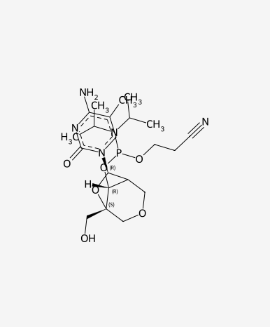 Cc1cn([C@@H]2O[C@@]3(CO)COCC2[C@H]3OP(OCCC#N)N(C(C)C)C(C)C)c(=O)nc1N